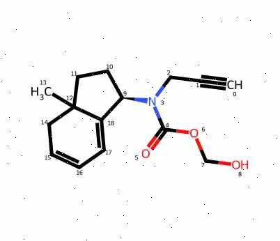 C#CCN(C(=O)OCO)[C@@H]1CCC2(C)CC=CC=C12